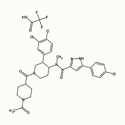 CC(=O)N1CCC(C(=O)N2CCC(N(C)C(=O)c3cc(-c4ccc(Cl)cc4)[nH]n3)C(c3ccc(Cl)c(Cl)c3)C2)CC1.O=C(O)C(F)(F)F